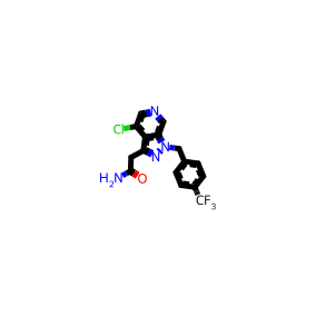 NC(=O)Cc1nn(Cc2ccc(C(F)(F)F)cc2)c2cncc(Cl)c12